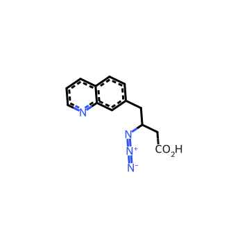 [N-]=[N+]=NC(CC(=O)O)Cc1ccc2cccnc2c1